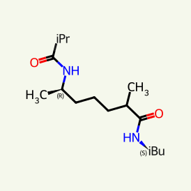 CC[C@H](C)NC(=O)C(C)CCC[C@@H](C)NC(=O)C(C)C